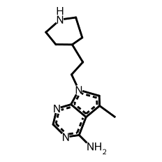 Cc1cn(CCC2CCNCC2)c2ncnc(N)c12